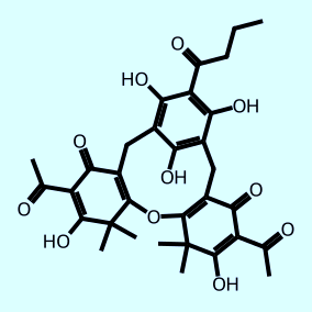 CCCC(=O)c1c(O)c2c(O)c(c1O)CC1=C(OC3=C(C2)C(=O)C(C(C)=O)=C(O)C3(C)C)C(C)(C)C(O)=C(C(C)=O)C1=O